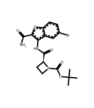 CC(C)(C)OC(=O)N1CC[C@H]1C(=O)Nc1c(C(N)=O)oc2ccc(Br)cc12